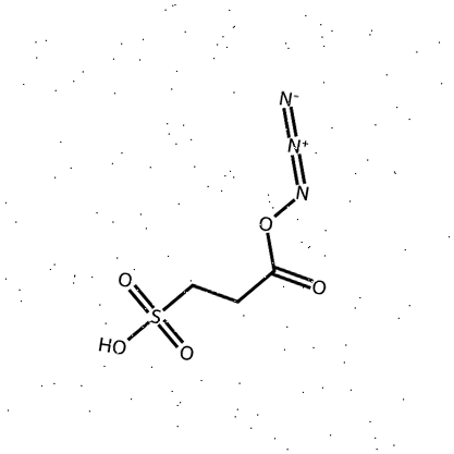 [N-]=[N+]=NOC(=O)CCS(=O)(=O)O